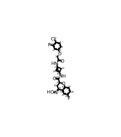 O=C(COc1ccc(Cl)c(F)c1)NC12CC(NC(=O)C3C/C(=N\O)c4cc(F)ccc4O3)(C1)C2